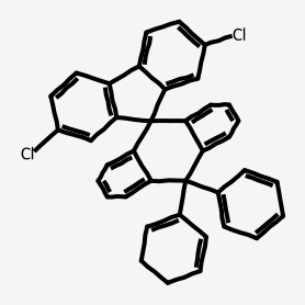 Clc1ccc2c(c1)C1(c3cc(Cl)ccc3-2)c2ccccc2C(C2=CCCC=C2)(c2ccccc2)c2ccccc21